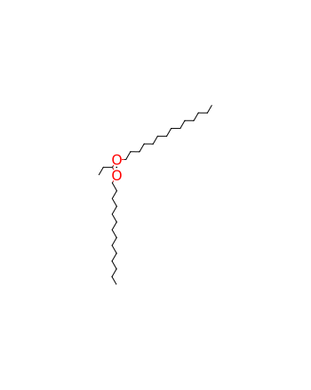 CCCCCCCCCCCCCCO[C](CC)OCCCCCCCCCCCCCC